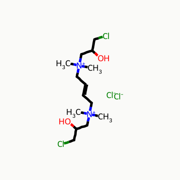 C[N+](C)(CC=CC[N+](C)(C)CC(O)CCl)CC(O)CCl.[Cl-].[Cl-]